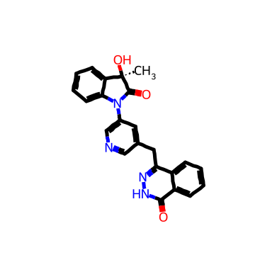 C[C@]1(O)C(=O)N(c2cncc(Cc3n[nH]c(=O)c4ccccc34)c2)c2ccccc21